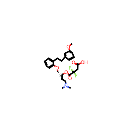 COc1cccc(CCc2ccccc2OC[C@@H](CCN(C)C)OC(=O)C(F)(F)CC(=O)O)c1